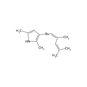 CC(C)=CC(C)=[CH][Ru][c]1cc(C)[nH]c1C